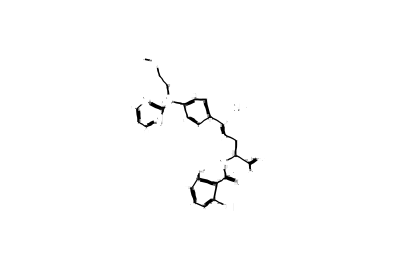 COCCN(c1ccc(C=CCC(NC(=O)c2c(Cl)cccc2Cl)C(=O)O)cc1)c1ncccn1.[NaH]